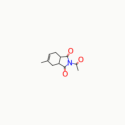 CC(=O)N1C(=O)C2CC=C(C)CC2C1=O